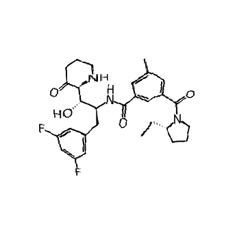 CC[C@H]1CCCN1C(=O)c1cc(C)cc(C(=O)N[C@@H](Cc2cc(F)cc(F)c2)[C@H](O)[C@@H]2NCCCC2=O)c1